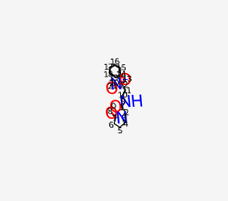 O=C(CN1CCCC1=O)NCCc1oc2ccccc2[n+]1[O-]